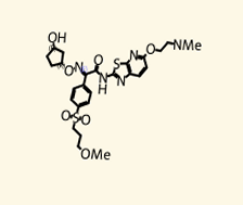 CNCCOc1ccc2nc(NC(=O)/C(=N/O[C@@H]3CC[C@@H](O)C3)c3ccc(S(=O)(=O)CCCOC)cc3)sc2n1